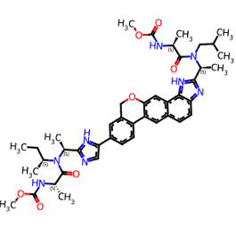 CC[C@H](C)N(C(=O)[C@H](C)NC(=O)OC)[C@@H](C)c1ncc(-c2ccc3c(c2)COc2cc4c(ccc5nc([C@H](C)N(CC(C)C)C(=O)[C@H](C)NC(=O)OC)[nH]c54)cc2-3)[nH]1